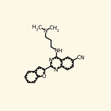 CN(C)CCCNc1nc(-c2cc3ccccc3o2)nc2ccc(C#N)cc12